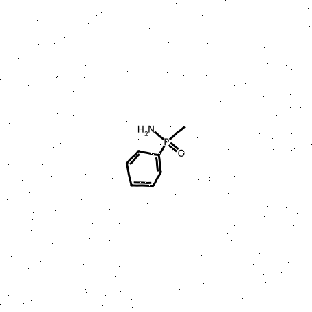 CP(N)(=O)c1ccccc1